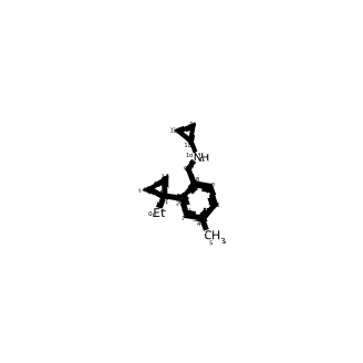 CCC1(c2cc(C)ccc2CNC2CC2)CC1